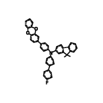 CC1(C)c2ccccc2-c2ccc(N(c3ccc(-c4ccc(F)cc4)cc3)c3ccc(-c4ccc5c(c4)Oc4ccccc4O5)cc3)cc21